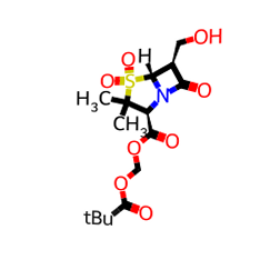 CC(C)(C)C(=O)OCOC(=O)[C@@H]1N2C(=O)[C@H](CO)[C@H]2S(=O)(=O)C1(C)C